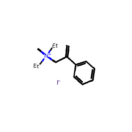 C=C(C[N+](C)(CC)CC)c1ccccc1.[I-]